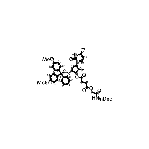 CCCCCCCCCCNC(=O)COC(=O)CCC(=O)O[C@@H]1C(F)[C@H](n2ccc(=O)[nH]c2=O)O[C@@H]1COC(c1ccccc1)(c1ccc(OC)cc1)c1ccc(OC)cc1